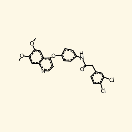 COc1cc2nccc(Oc3ccc(NC(=O)Cc4ccc(Cl)c(Cl)c4)cc3)c2cc1OC